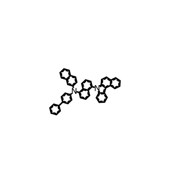 c1ccc(-c2ccc(N(c3ccc4ccccc4c3)c3cccc4c(-n5c6ccccc6c6c7ccccc7ccc65)cccc34)cc2)cc1